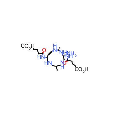 CC1CNC[C@@H](NC(=O)CCCC(=O)O)C=CN[C@@H](C)N[C@@](CN)(NC(=O)CCCC(=O)O)CNC1